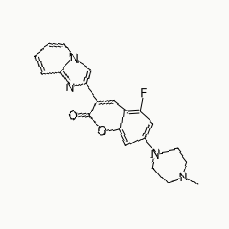 CN1CCN(c2cc(F)c3cc(-c4cn5ccccc5n4)c(=O)oc3c2)CC1